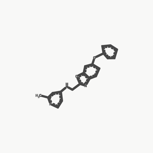 Cc1cc(NCc2nc3ccc(Oc4ccccc4)cc3o2)ccn1